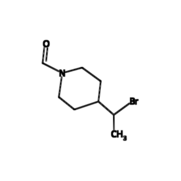 CC(Br)C1CCN(C=O)CC1